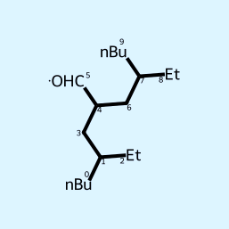 CCCCC(CC)CC([C]=O)CC(CC)CCCC